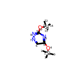 C[Si](C)(C)Oc1cnnc(O[Si](C)(C)C)n1